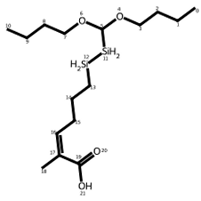 CCCCOC(OCCCC)[SiH2][SiH2]CCCC=C(C)C(=O)O